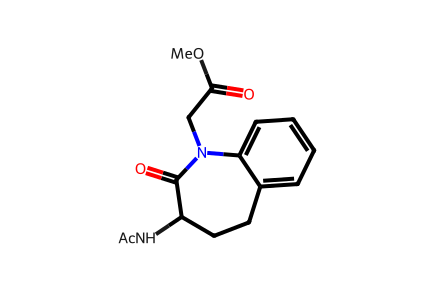 COC(=O)CN1C(=O)C(NC(C)=O)CCc2ccccc21